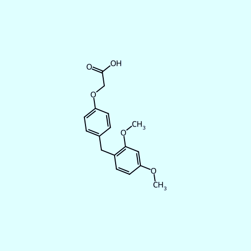 COc1ccc(Cc2ccc(OCC(=O)O)cc2)c(OC)c1